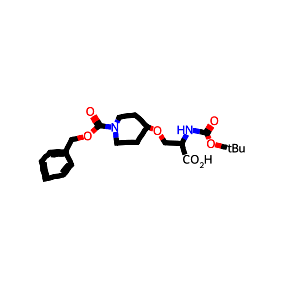 CC(C)(C)OC(=O)NC(COC1CCN(C(=O)OCc2ccccc2)CC1)C(=O)O